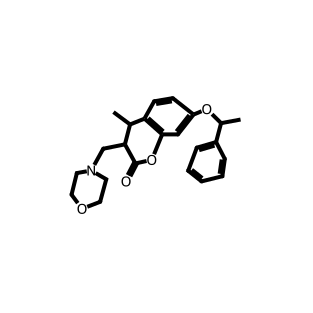 CC(Oc1ccc2c(c1)OC(=O)C(CN1CCOCC1)C2C)c1ccccc1